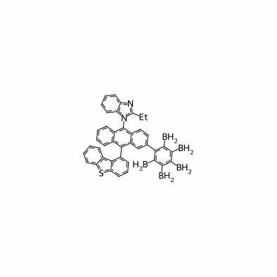 Bc1c(B)c(B)c(-c2ccc3c(-n4c(CC)nc5ccccc54)c4ccccc4c(-c4cccc5sc6ccccc6c45)c3c2)c(B)c1B